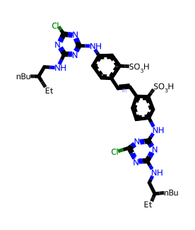 CCCCC(CC)CNc1nc(Cl)nc(Nc2ccc(/C=C/c3ccc(Nc4nc(Cl)nc(NCC(CC)CCCC)n4)cc3S(=O)(=O)O)c(S(=O)(=O)O)c2)n1